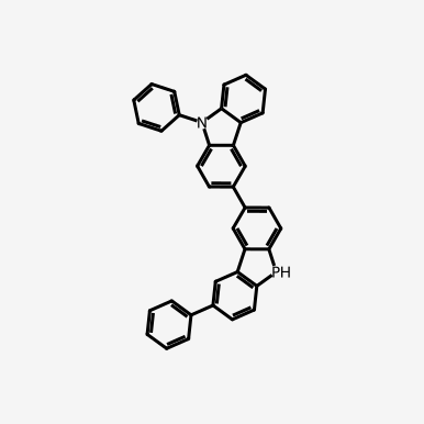 c1ccc(-c2ccc3[pH]c4ccc(-c5ccc6c(c5)c5ccccc5n6-c5ccccc5)cc4c3c2)cc1